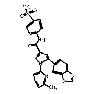 Cc1cccc(-n2nc(C(=O)Nc3ccc(S(=O)(=O)C(F)(F)F)cc3)cc2-c2ccc3ncsc3c2)n1